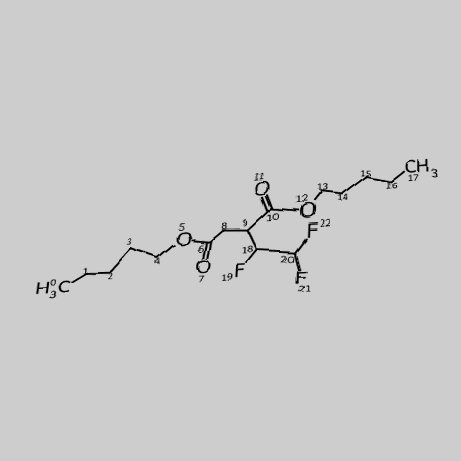 CCCCCOC(=O)CC(C(=O)OCCCCC)C(F)C(F)F